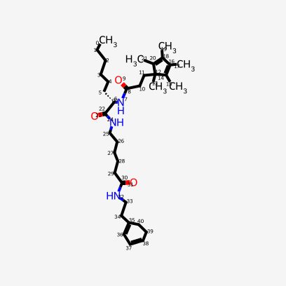 CCCCCC[C@H](NC(=O)CCC1(C)C(C)=C(C)C(C)=C1C)C(=O)NCCCCCC(=O)NCCC1=CC=CCC1